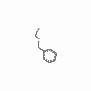 CC(C)[CH]OCc1ccccc1